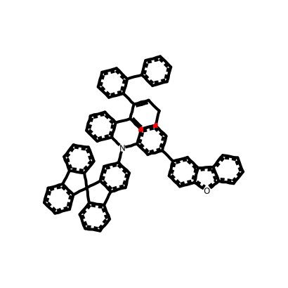 C1=C(c2ccccc2-c2ccccc2)C(c2ccccc2N(c2cccc(-c3ccc4oc5ccccc5c4c3)c2)c2ccc3c(c2)C2(c4ccccc4-c4ccccc42)c2ccccc2-3)=CCC1